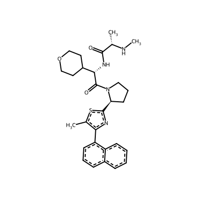 CN[C@@H](C)C(=O)N[C@H](C(=O)N1CCC[C@H]1c1nc(-c2cccc3ccccc23)c(C)s1)C1CCOCC1